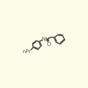 CCCc1ccc(NC(=O)Cc2ccccc2)cc1